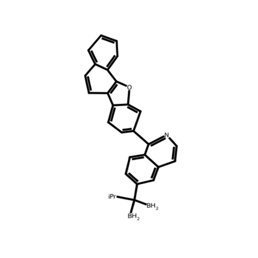 BC(B)(c1ccc2c(-c3ccc4c(c3)oc3c5ccccc5ccc43)nccc2c1)C(C)C